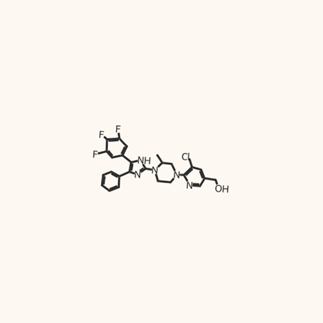 CC1CN(c2ncc(CO)cc2Cl)CCN1c1nc(-c2ccccc2)c(-c2cc(F)c(F)c(F)c2)[nH]1